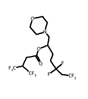 O=C(CC(C(F)(F)F)C(F)(F)F)OC(CCC(F)(F)CC(F)(F)F)CN1CCOCC1